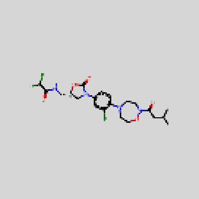 CC(C)CC(=O)N1CCN(c2ccc(N3C[C@H](CNC(=O)C(F)F)OC3=O)cc2F)CCO1